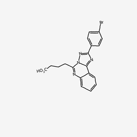 O=C(O)CCCc1nc2ccccc2c2nc(-c3ccc(Br)cc3)nn12